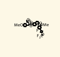 COc1ccc(CN(c2ccon2)S(=O)(=O)c2ccc3c(ccc(=O)n3-c3cc(F)c(C4CC(OC(F)(F)F)C4)cc3OC)c2)cc1